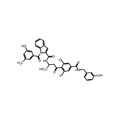 Cc1cc(O)cc(C(=O)n2c(C(=O)NC(CC(=O)c3c(Cl)cc(C(=O)NCc4cccc(O)c4)cc3Cl)C(=O)O)cc3ccccc32)c1